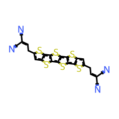 N#CC(C#N)=CCc1cc2sc3c(sc4c5sc6cc(CC=C(C#N)C#N)sc6c5sc34)c2s1